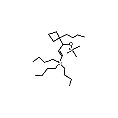 CCCCC1(C(/C=[CH]/[Sn]([CH2]CCC)([CH2]CCC)[CH2]CCC)O[Si](C)(C)C)CCC1